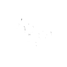 O=C(O)C1CC2(CC2)CN1c1ccc(C(F)(F)F)cn1